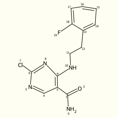 NC(=O)c1cnc(Cl)nc1NCCc1ccccc1F